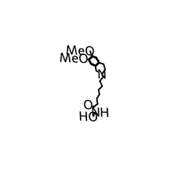 COc1cc2c(cc1OC)CN(CCCCCCCC(=O)NO)CC2